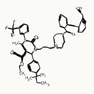 C#Cc1ccccc1-c1ccccc1C(=O)N1CCN(CCCN2C(=O)N(c3cccc(C(F)(F)F)c3)C(C)=C(C(=O)OCC)C2c2ccc(C(C)(C)CC)cc2)CC1